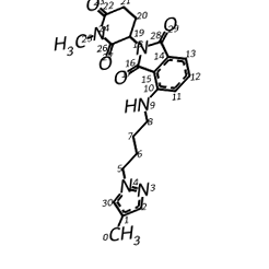 Cc1cnn(CCCCNc2cccc3c2C(=O)N(C2CCC(=O)N(C)C2=O)C3=O)c1